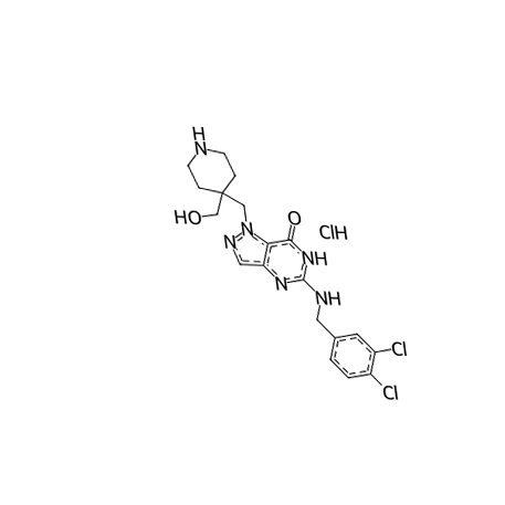 Cl.O=c1[nH]c(NCc2ccc(Cl)c(Cl)c2)nc2cnn(CC3(CO)CCNCC3)c12